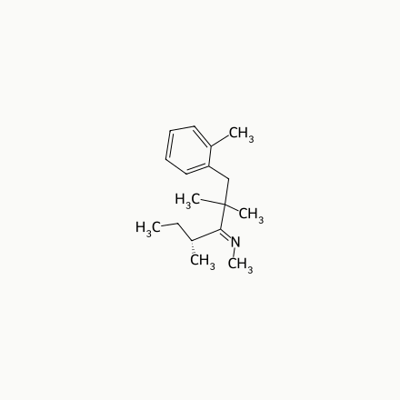 CC[C@@H](C)C(=NC)C(C)(C)Cc1ccccc1C